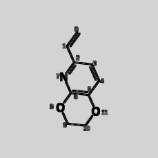 C=Cc1ccc2c(n1)OCCO2